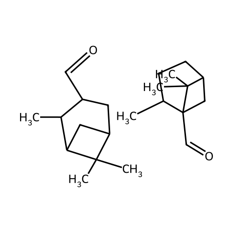 CC1C(C=O)CC2CC1C2(C)C.CC1CCC2CC1(C=O)C2(C)C